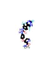 CNC(=O)c1cc(Oc2ccc(NC(=O)Nc3ccc(-c4cnc(F)nc4F)c(C(F)(F)F)c3)cc2)ccn1